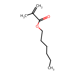 C=C(C)C(=O)OCC[CH]CCC